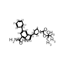 CC(C)(C)OC(=O)N1CCC(c2c[nH]c3c(C(N)=O)cc(-c4ccccc4)cc23)C1